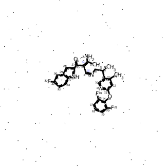 C/C(N)=C(\C=N/CC(C)c1cnc(Oc2c(F)cccc2F)cc1C)C(=O)c1cc2cc(F)ccc2[nH]1